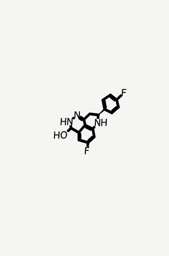 OC1NN=C2C[C@@H](c3ccc(F)cc3)Nc3cc(F)cc1c32